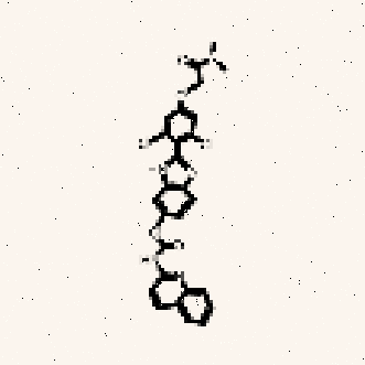 CN(C)C(=O)COc1cc(Cl)c(-c2nc3ccc(OC(=O)Nc4ccc5ccccc5n4)cc3[nH]2)c(Cl)c1